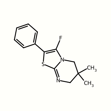 CC1(C)CN=C2SC(c3ccccc3)=C(F)N2C1